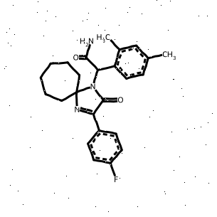 Cc1ccc(C(C(N)=O)N2C(=O)C(c3ccc(F)cc3)=NC23CCCCCC3)c(C)c1